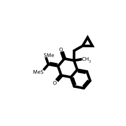 CSC(SC)=C1C(=O)c2ccccc2C(C)(CC2CC2)C1=O